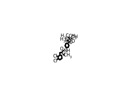 Cn1c(C(=O)Nc2ccc(S(=O)(=O)N(C(=O)O)C(C)(C)C)cc2)cc2c(Cl)c(Cl)ccc21